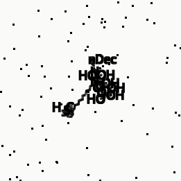 CCCCCCCCCCCCCC[C@@H](O)[C@@H](O)[C@H](COC1OC(CO)C(O)C(O)C1O)N[C@@H](CCCCCCCCCC[Si]1(C)CCCCC1)C(F)(F)F